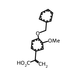 C=C(C(=O)O)c1ccc(OCc2ccccc2)c(OC)c1